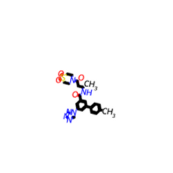 Cc1ccc(-c2cc(C(=O)NC(C)CC(=O)N3CCS(=O)(=O)CC3)cc(-n3cnnn3)c2)cc1